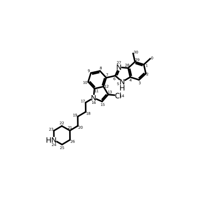 Cc1ccc2[nH]c(-c3cccc4c3c(Cl)cn4CCCCC3CCNCC3)nc2c1C